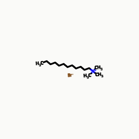 CCCCCCCCCCCC[N+](C)(C)C.[Br-]